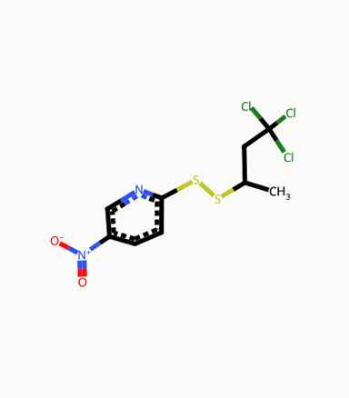 CC(CC(Cl)(Cl)Cl)SSc1ccc([N+](=O)[O-])cn1